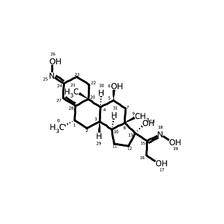 C[C@H]1C[C@@H]2[C@H]([C@@H](O)C[C@@]3(C)[C@H]2CC[C@]3(O)/C(CO)=N/O)[C@@]2(C)CC/C(=N\O)C=C12